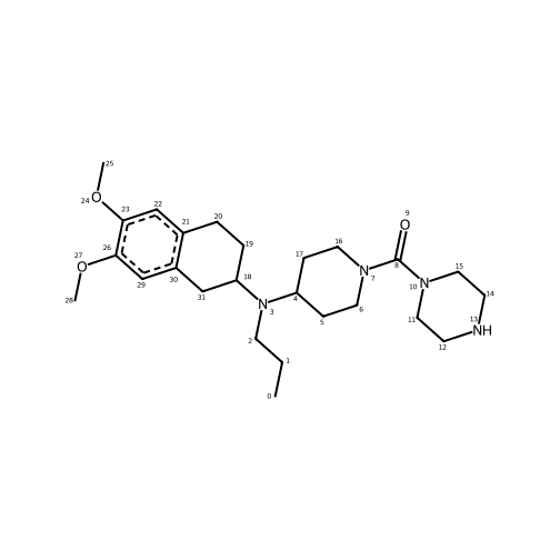 CCCN(C1CCN(C(=O)N2CCNCC2)CC1)C1CCc2cc(OC)c(OC)cc2C1